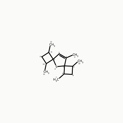 CC1=CC2(SC13C(C)CC3C)C(C)CC2C